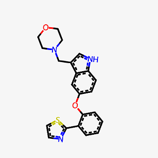 c1ccc(-c2nccs2)c(Oc2ccc3[nH]cc(CN4CCOCC4)c3c2)c1